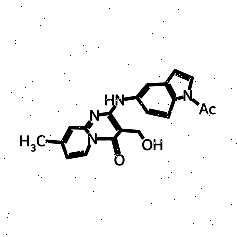 CC(=O)n1ccc2cc(Nc3nc4cc(C)ccn4c(=O)c3CO)ccc21